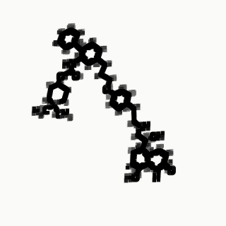 C[N+]1(C)CCC(OC(=O)Nc2cc(CCCOc3ccc(CCNC[C@H](O)c4ccc(O)c5[nH]c(=O)ccc45)cc3)ccc2-c2ccccc2)CC1